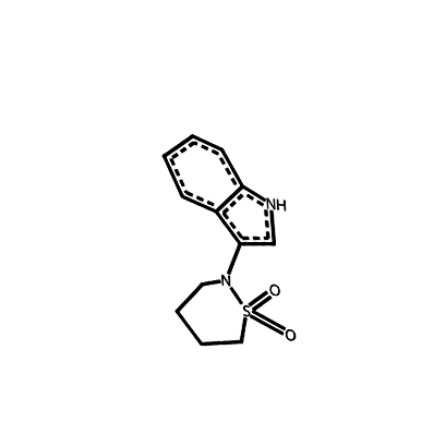 O=S1(=O)CCCCN1c1c[nH]c2ccccc12